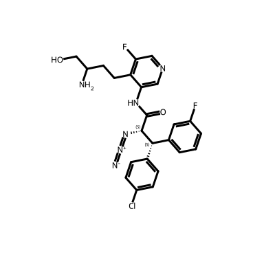 [N-]=[N+]=N[C@H](C(=O)Nc1cncc(F)c1CCC(N)CO)[C@@H](c1ccc(Cl)cc1)c1cccc(F)c1